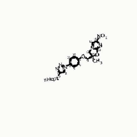 CCCCCCCc1cn(-c2ccc(OC[C@@]3(C)Cn4cc([N+](=O)[O-])nc4O3)cc2)nn1